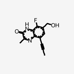 CC#Cc1cc(CO)c(F)c2[nH]c(=O)c(C)nc12